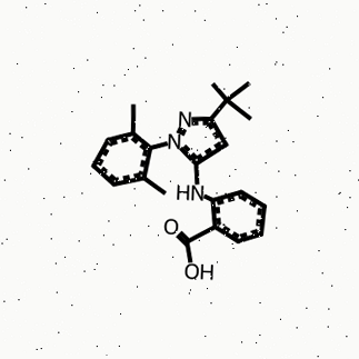 Cc1cccc(C)c1-n1nc(C(C)(C)C)cc1Nc1ccccc1C(=O)O